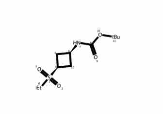 CCS(=O)(=O)[C@H]1C[C@@H](NC(=O)OC(C)(C)C)C1